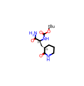 CC(C)(C)OC(=O)N[C@@H](C[C@@H]1CCCNC1=O)C(N)=O